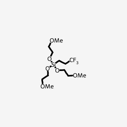 COCCO[Si](CCC(F)(F)F)(OCCOC)OCCOC